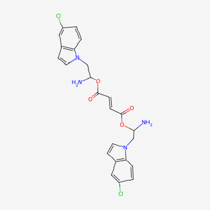 NC(Cn1ccc2cc(Cl)ccc21)OC(=O)/C=C/C(=O)OC(N)Cn1ccc2cc(Cl)ccc21